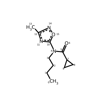 CCCCN(C(=O)C1CC1)c1nc(C)no1